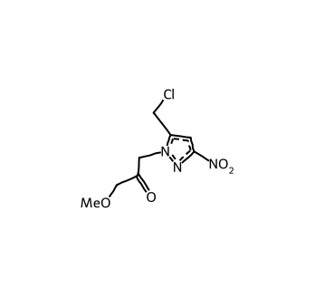 COCC(=O)Cn1nc([N+](=O)[O-])cc1CCl